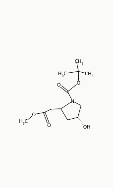 COC(=O)CC1C[C@@H](O)CN1C(=O)OC(C)(C)C